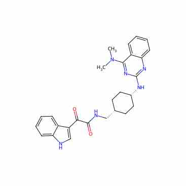 CN(C)c1nc(N[C@H]2CC[C@@H](CNC(=O)C(=O)c3c[nH]c4ccccc34)CC2)nc2ccccc12